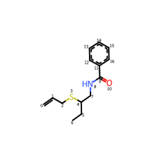 C=CCSC(CC)CNC(=O)c1ccccc1